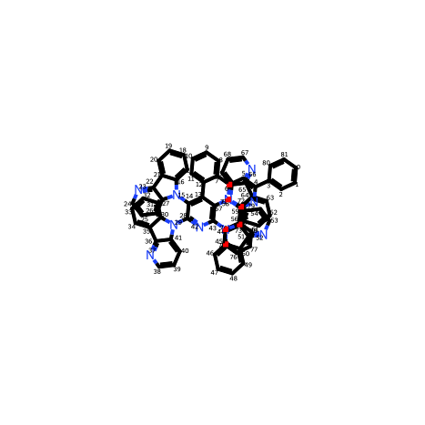 c1ccc(-c2cc(-c3ccccc3-c3c(-n4c5ccccc5c5ncccc54)c(-n4c5ccccc5c5ncccc54)nc(-n4c5ccccc5c5ncccc54)c3-n3c4ccccc4c4ncccc43)nc(-c3ccccc3)n2)cc1